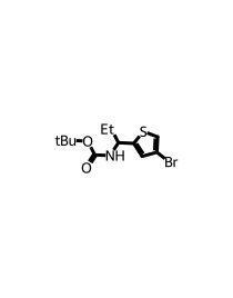 CCC(NC(=O)OC(C)(C)C)c1cc(Br)cs1